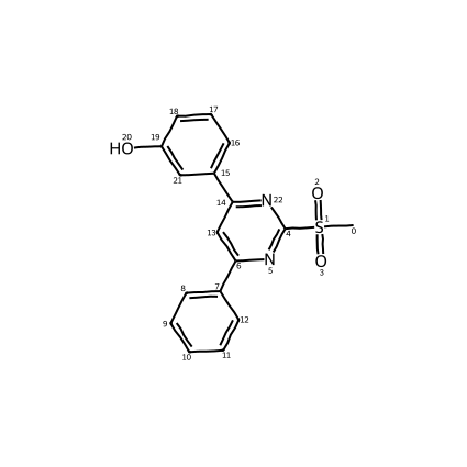 CS(=O)(=O)c1nc(-c2ccccc2)cc(-c2cccc(O)c2)n1